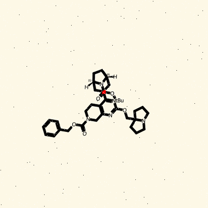 CC(C)(C)OC(=O)N1[C@@H]2CC[C@H]1CN(c1nc(OCC34CCCN3CCC4)nc3c1CCN(C(=O)OCc1ccccc1)C3)C2